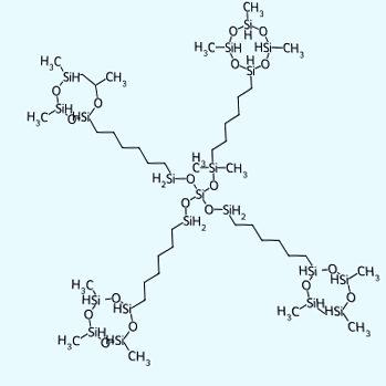 CC1C[SiH](C)O[SiH](C)O[SiH](CCCCCC[SiH2]O[Si](O[SiH2]CCCCCC[SiH]2O[SiH](C)C[SiH](C)O[SiH](C)O2)(O[SiH2]CCCCCC[SiH]2O[SiH](C)O[SiH](C)O[SiH](C)O2)O[Si](C)(C)CCCCCC[SiH]2O[SiH](C)O[SiH](C)O[SiH](C)O2)O1